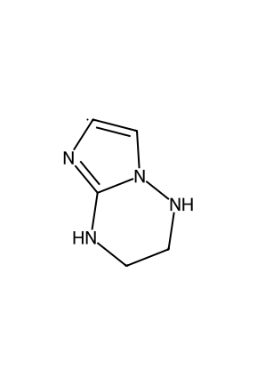 [c]1cn2c(n1)NCCN2